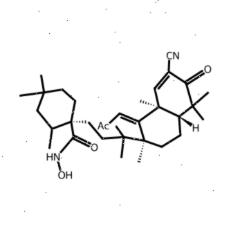 CC(=O)/C=C1/[C@@]2(C)C=C(C#N)C(=O)C(C)(C)[C@@H]2CC[C@@]1(C)C(C)(C)CC[C@@]1(C(=O)NO)CCC(C)(C)CC1C